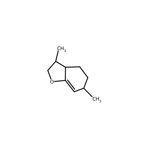 CC1C=C2OCC(C)C2CC1